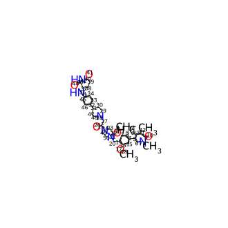 COc1cc(-c2cn(C)c(=O)c(C)c2C)cc(OC)c1CN1CCN(C(=O)CN2CCC(c3ccc(NC4CCC(=O)NC4=O)cc3)CC2)CC1